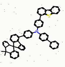 CC1(C)c2ccccc2C2(c3ccccc3-c3c(-c4ccc(N(c5ccc(-c6ccccc6)cc5)c5ccc(-c6cccc7c6sc6ccccc67)cc5)cc4)cccc32)C2C=CC=CC21